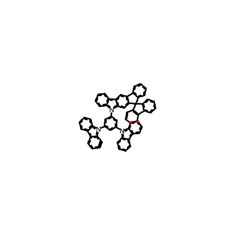 c1ccc2c3ccccc3n(-c3cc(-n4c5ccccc5c5ccccc54)cc(-n4c5ccccc5c5cc6c(cc54)C4(C5=C(CCC=C5)c5ccccc54)c4ccccc4-6)c3)c2c#1